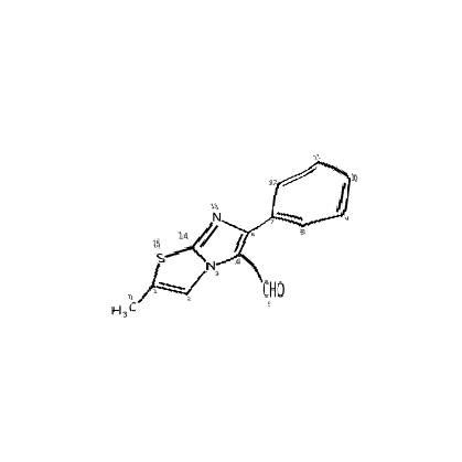 Cc1cn2c(C=O)c(-c3ccccc3)nc2s1